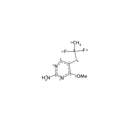 COc1nc(N)ncc1CC(C)(F)F